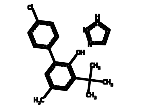 Cc1cc(-c2ccc(Cl)cc2)c(O)c(C(C)(C)C)c1.c1c[nH]nn1